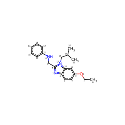 CCOc1ccc2nc(CNc3ccccc3)n(CC(C)C)c2c1